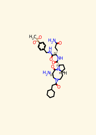 CS(=O)(=O)c1ccc(CNC(=O)[C@H](CCC(N)=O)NC(=O)[C@@H]2CC[C@@H]3CCN(C(=O)CC4CCCCC4)C[C@H](N)C(=O)N32)cc1